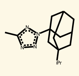 Cc1nnn(C23CC4CC(CC(C(C)C)(C4)C2)C3)n1